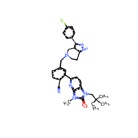 Cn1c(=O)n(CC(C)(C)C)c2ccc(-c3cc(CN4CCc5[nH]nc(-c6ccc(F)cc6)c5C4)ccc3C#N)nc21